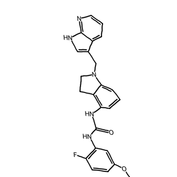 COc1ccc(F)c(NC(=O)Nc2cccc3c2CCN3Cc2c[nH]c3ncccc23)c1